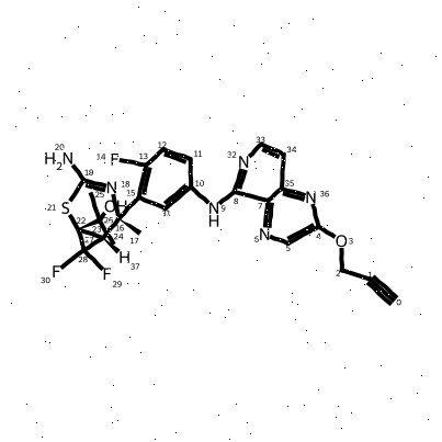 C#CCOc1cnc2c(Nc3ccc(F)c([C@@]4(C)N=C(N)S[C@]5(C(C)(C)O)[C@H]4C5(F)F)c3)nccc2n1